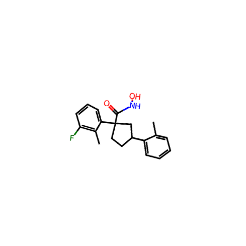 Cc1ccccc1C1CCC(C(=O)NO)(c2cccc(F)c2C)C1